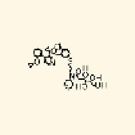 O=C(CC(O)C(O)C(O)CO)N(CCCSc1ccc(Cl)c(COC2(c3cnccc3-c3ccccc3OC3CC3)CC2)c1)C1CCSCC1